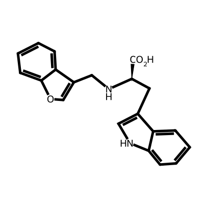 O=C(O)[C@@H](Cc1c[nH]c2ccccc12)NCc1coc2ccccc12